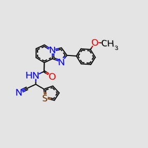 COc1cccc(-c2cn3cccc(C(=O)NC(C#N)c4cccs4)c3n2)c1